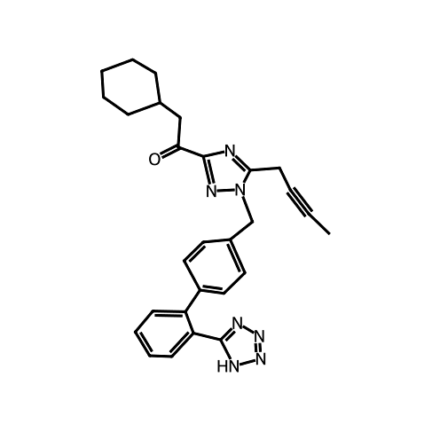 CC#CCc1nc(C(=O)CC2CCCCC2)nn1Cc1ccc(-c2ccccc2-c2nnn[nH]2)cc1